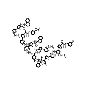 CC(C)(NC(=O)c1ccc(-c2ccnc(N)n2)s1)c1ccccc1.Nc1cccc(CNC(=O)c2ccc(-c3ccnc(N)n3)s2)c1.Nc1nccc(-c2ccc(C(=O)NC3CCc4ccccc43)s2)n1.Nc1nccc(-c2ccc(C(=O)NCc3cccc(F)c3)s2)n1.Nc1nccc(-c2ccc(C(=O)NCc3cccc(OC(F)F)c3)s2)n1.Nc1nccc(-c2ccc(C(=O)N[C@H]3CCCc4ccccc43)s2)n1